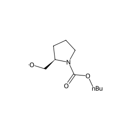 CCCCOC(=O)N1CCC[C@@H]1C[O]